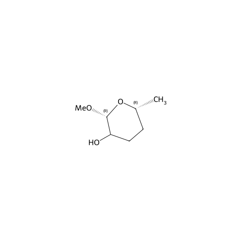 CO[C@@H]1O[C@H](C)CCC1O